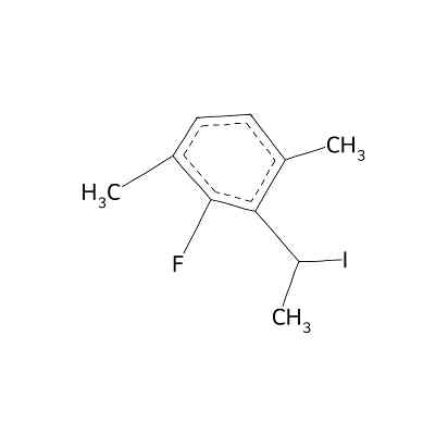 Cc1ccc(C)c(C(C)I)c1F